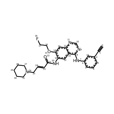 C#Cc1cccc(Nc2ncnc3cc(OCCF)c(NC(=O)/C=C/CN4CCCCC4)cc23)c1